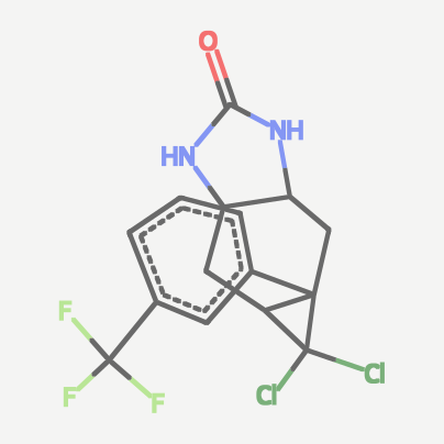 O=C1NC2CC3C(Cl)(Cl)C3(c3cccc(C(F)(F)F)c3)CC2N1